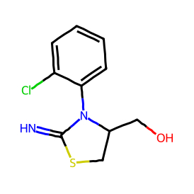 N=C1SCC(CO)N1c1ccccc1Cl